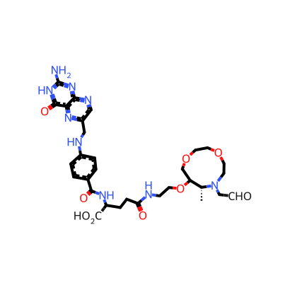 C[C@@H]1C(OCCNC(=O)CCC(NC(=O)c2ccc(NCc3cnc4nc(N)[nH]c(=O)c4n3)cc2)C(=O)O)COCCOCCN1CC=O